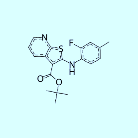 Cc1ccc(Nc2sc3ncccc3c2C(=O)OC(C)(C)C)c(F)c1